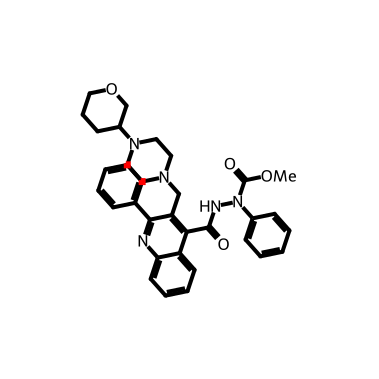 COC(=O)N(NC(=O)c1c(CN2CCN(C3CCCOC3)CC2)c(-c2ccccc2)nc2ccccc12)c1ccccc1